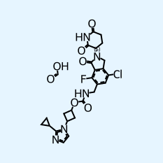 O=C1CC[C@H](N2Cc3c(Cl)cc(CNC(=O)OC4CC(n5ccnc5C5CC5)C4)c(F)c3C2=O)C(=O)N1.O=CO